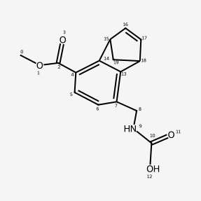 COC(=O)c1ccc(CNC(=O)O)c2c1C1C=CC2C1